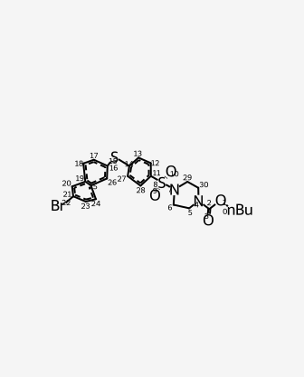 CCCCOC(=O)N1CCN(S(=O)(=O)c2ccc(Sc3ccc4cc(Br)ccc4c3)cc2)CC1